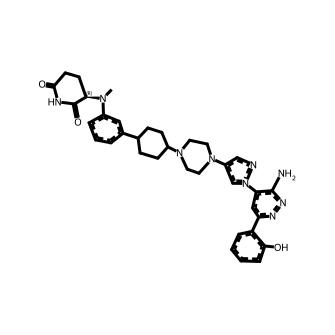 CN(c1cccc(C2CCC(N3CCN(c4cnn(-c5cc(-c6ccccc6O)nnc5N)c4)CC3)CC2)c1)[C@@H]1CCC(=O)NC1=O